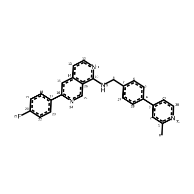 Cc1cc(-c2ccc(CNc3nccc4cc(-c5ccc(F)cc5)ncc34)cc2)ccn1